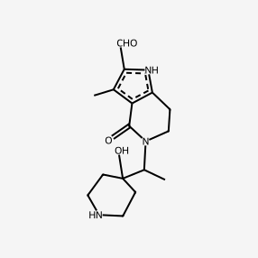 Cc1c(C=O)[nH]c2c1C(=O)N(C(C)C1(O)CCNCC1)CC2